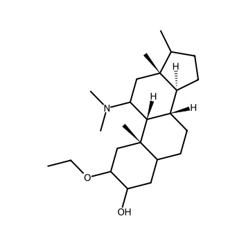 CCOC1C[C@@]2(C)C(CC[C@@H]3[C@H]2C(N(C)C)C[C@]2(C)C(C)CC[C@@H]32)CC1O